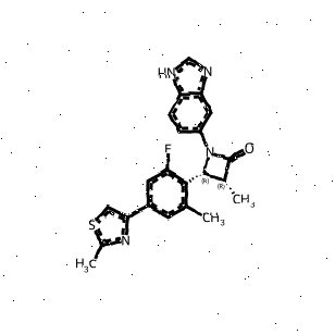 Cc1nc(-c2cc(C)c([C@H]3[C@@H](C)C(=O)N3c3ccc4[nH]cnc4c3)c(F)c2)cs1